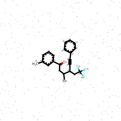 [2H]C(CC(=O)c1cccc(C)c1)C(C#Cc1ccccc1)CC(F)(F)F